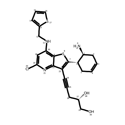 N[C@H]1CC=CC[C@@H]1c1sc2c(NCc3cccs3)cc(Cl)nc2c1C#CC[C@H](O)CO